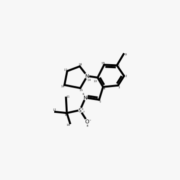 Cc1ccc(C=N[S+]([O-])C(C)(C)C)c(N2CCCC2)c1